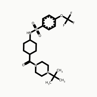 CC(C)(C)N1CCN(C(=O)C2CCC(NS(=O)(=O)c3ccc(OC(F)(F)F)cc3)CC2)CC1